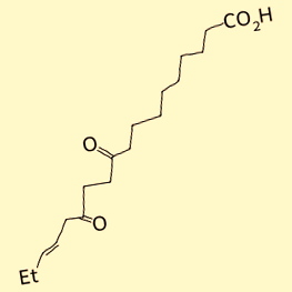 CCC=CCC(=O)CCC(=O)CCCCCCCCC(=O)O